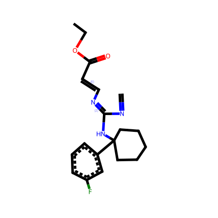 C=N/C(=N\C=C\C(=O)OCC)NC1(c2cccc(F)c2)CCCCC1